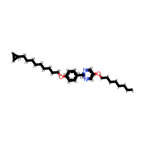 CCCCCCCCOc1cnc(-c2ccc(OCCCCCCCCCC3CC3)cc2)nc1